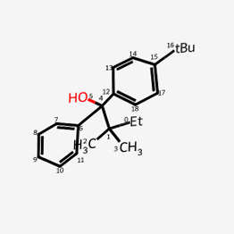 CCC(C)(C)C(O)(c1ccccc1)c1ccc(C(C)(C)C)cc1